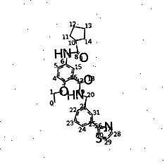 CCOc1ccc(NC(=O)C2CCCC2)cc1C(=O)NCc1cccc(-c2nccs2)c1